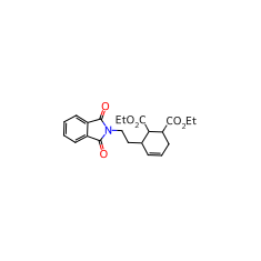 CCOC(=O)C1CC=CC(CCN2C(=O)c3ccccc3C2=O)C1C(=O)OCC